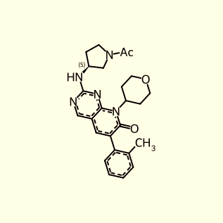 CC(=O)N1CC[C@H](Nc2ncc3cc(-c4ccccc4C)c(=O)n(C4CCOCC4)c3n2)C1